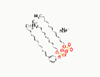 CCCCCCCCCCCCOS(=O)(=O)[O-].CCCCCCCCCCCCOS(=O)(=O)[O-].CCCCCCCCCCCCc1ccccc1.[Na+].[Na+]